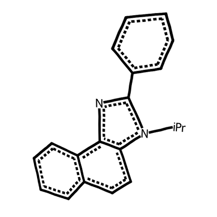 CC(C)n1c(-c2ccccc2)nc2c3ccccc3ccc21